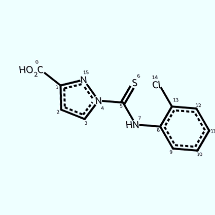 O=C(O)c1ccn(C(=S)Nc2ccccc2Cl)n1